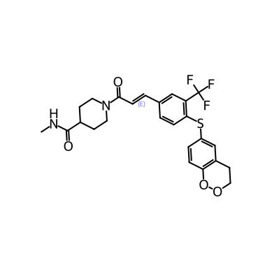 CNC(=O)C1CCN(C(=O)/C=C/c2ccc(Sc3ccc4c(c3)CCOO4)c(C(F)(F)F)c2)CC1